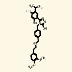 COc1ccc(CCNCc2ccc(Cn3c(O)nnc3-c3cc(C(C)C)c(O)cc3O)cc2)cc1OC